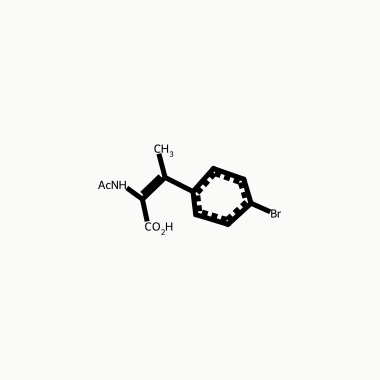 CC(=O)NC(C(=O)O)=C(C)c1ccc(Br)cc1